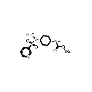 CN([C@H]1CC[C@H](NC(=O)OC(C)(C)C)CC1)S(=O)(=O)c1cccnc1